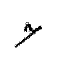 COCCOCCOCCOCCOCCOCCOCCOc1nn(C2CCC(N3C[C@@H](C)O[C@@H](C)C3)CC2)cc1Nc1ncc(-c2ccc(Cl)c(O[C@@H](C)Cn3cncn3)c2)cn1